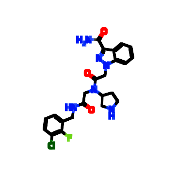 NC(=O)c1nn(CC(=O)N(CC(=O)NCc2cccc(Cl)c2F)C2CCNC2)c2ccccc12